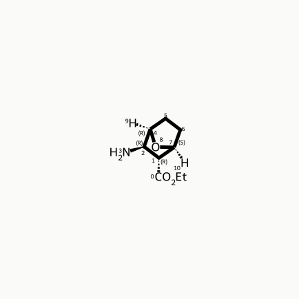 CCOC(=O)[C@@H]1[C@@H](N)[C@H]2CC[C@@H]1O2